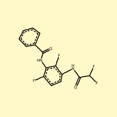 O=C(Nc1c(F)ccc(NC(=O)C(F)F)c1F)c1ccccc1